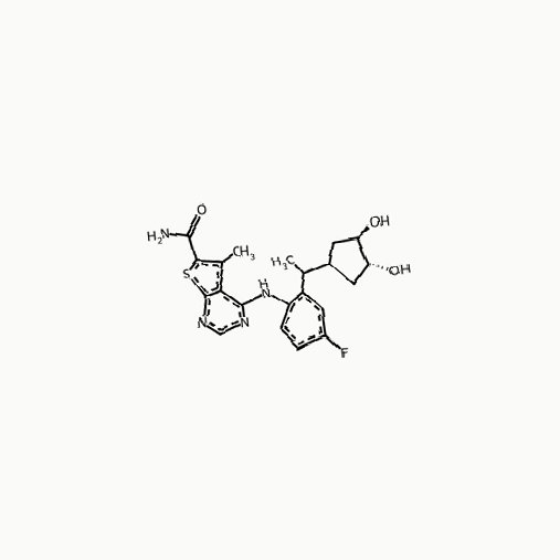 Cc1c(C(N)=O)sc2ncnc(Nc3ccc(F)cc3C(C)C3C[C@@H](O)[C@H](O)C3)c12